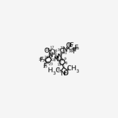 Cc1noc(C)c1-c1ccc2c(c1)nc([C@@H]1CCC(=O)N1c1ccc(F)c(F)c1)n2[C@@H]1CCN(C(=O)CC(F)(F)F)C1